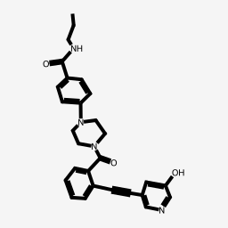 CCCNC(=O)c1ccc(N2CCN(C(=O)c3ccccc3C#Cc3cncc(O)c3)CC2)cc1